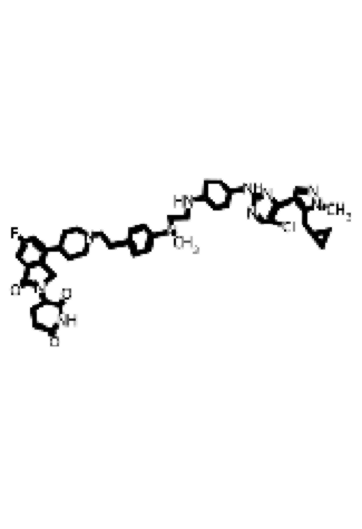 CN(CCNC1CCC(Nc2ncc(Cl)c(-c3cnn(C)c3CC3CC3)n2)CC1)c1ccc(CCN2CCC(c3cc(F)cc4c3CN(C3CCC(=O)NC3=O)C4=O)CC2)cc1